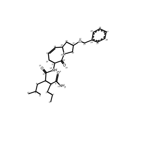 CCCC(C(N)=O)C(CC(C)C)C(=O)NC1CC=CC2CC(OCc3ccccc3)CN2C1=O